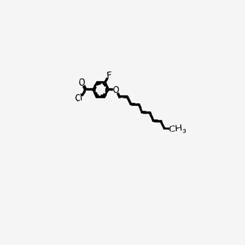 CCCCCCCCCCOc1ccc(C(=O)Cl)cc1F